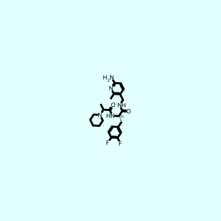 Cc1nc(N)ccc1CNC(=O)[C@H](Cc1ccc(F)c(F)c1)NC(=O)C(C)N1CCCCC1